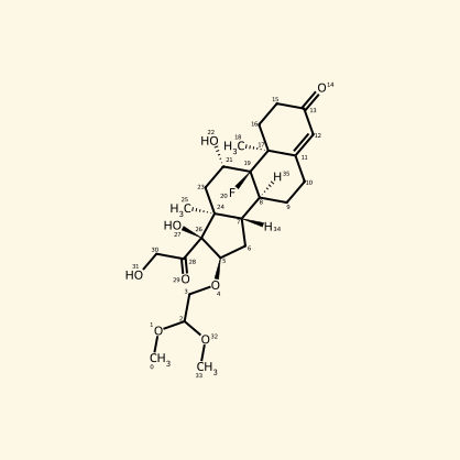 COC(CO[C@@H]1C[C@H]2[C@@H]3CCC4=CC(=O)CC[C@]4(C)[C@@]3(F)[C@@H](O)C[C@]2(C)[C@@]1(O)C(=O)CO)OC